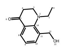 CCN1CCC(=O)c2cccc(CO)c21